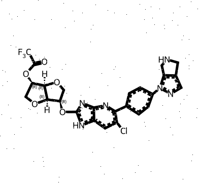 O=C(O[C@@H]1CO[C@H]2[C@@H]1OC[C@H]2Oc1nc2nc(-c3ccc(-n4ncc5c4CNC5)cc3)c(Cl)cc2[nH]1)C(F)(F)F